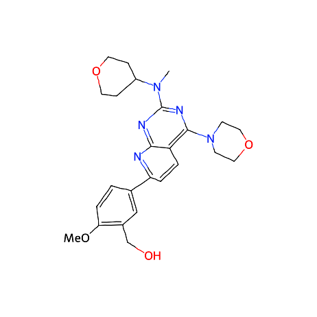 COc1ccc(-c2ccc3c(N4CCOCC4)nc(N(C)C4CCOCC4)nc3n2)cc1CO